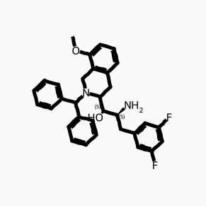 COc1cccc2c1CN(C(c1ccccc1)c1ccccc1)C([C@@H](O)[C@@H](N)Cc1cc(F)cc(F)c1)C2